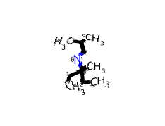 CCC(C)(CC)[N]CC(C)C